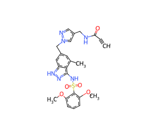 C#CC(=O)NCc1cnn(Cc2cc(C)c3c(NS(=O)(=O)c4c(OC)cccc4OC)n[nH]c3c2)c1